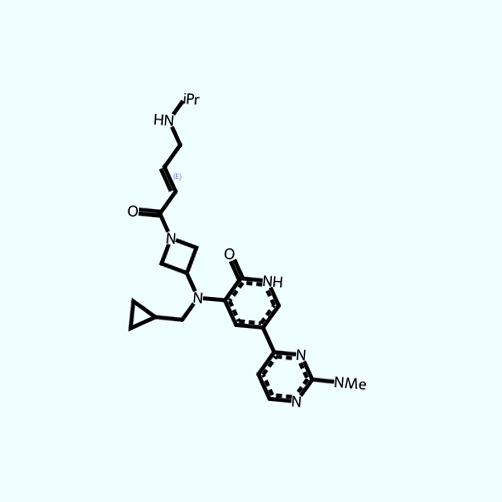 CNc1nccc(-c2c[nH]c(=O)c(N(CC3CC3)C3CN(C(=O)/C=C/CNC(C)C)C3)c2)n1